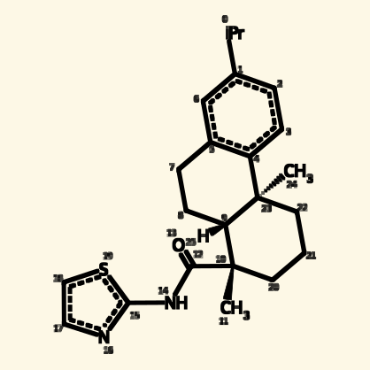 CC(C)c1ccc2c(c1)CC[C@H]1[C@@](C)(C(=O)Nc3nccs3)CCC[C@]21C